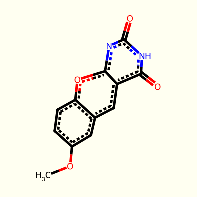 COc1ccc2oc3nc(=O)[nH]c(=O)c-3cc2c1